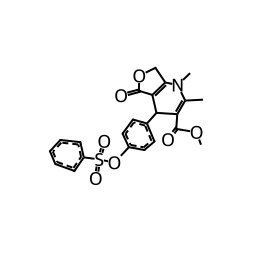 COC(=O)C1=C(C)N(C)C2=C(C(=O)OC2)C1c1ccc(OS(=O)(=O)c2ccccc2)cc1